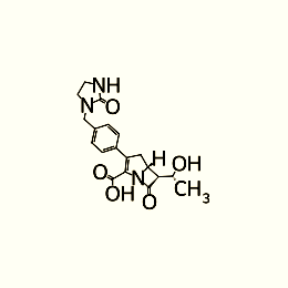 C[C@@H](O)[C@H]1C(=O)N2C(C(=O)O)=C(c3ccc(CN4CCNC4=O)cc3)C[C@H]12